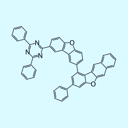 c1ccc(-c2cc(-c3ccc4oc5ccc(-c6nc(-c7ccccc7)nc(-c7ccccc7)n6)cc5c4c3)c3c(c2)oc2cc4ccccc4cc23)cc1